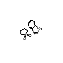 O=S1(=O)CCCC1.c1ccc2[nH]cnc2c1